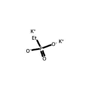 CCP(=O)([O-])[O-].[K+].[K+]